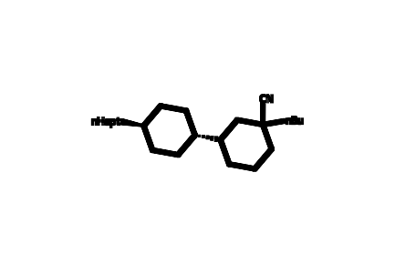 CCCCCCC[C@H]1CC[C@H](C2CCCC(C#N)(CCCC)C2)CC1